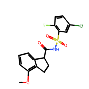 COc1cccc2c1CCC2C(=O)NS(=O)(=O)c1cc(Cl)ccc1F